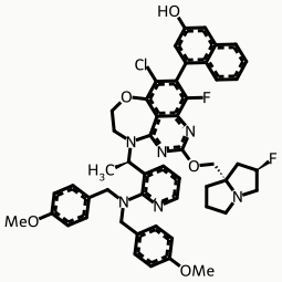 COc1ccc(CN(Cc2ccc(OC)cc2)c2ncccc2[C@@H](C)N2CCOc3c(Cl)c(-c4cc(O)cc5ccccc45)c(F)c4nc(OC[C@@]56CCCN5C[C@H](F)C6)nc2c34)cc1